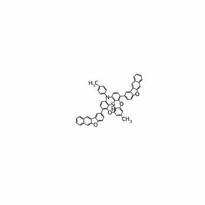 Cc1ccc(N2c3ccc(-c4ccc5oc6cc7ccccc7cc6c5c4)c4c3[SiH]3c5c(cc(C)cc5Oc5c(-c6ccc7oc8cc9ccccc9cc8c7c6)ccc2c53)O4)cc1